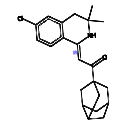 CC1(C)Cc2cc(Cl)ccc2/C(=C/C(=O)C23CC4CC(C2)C(C4)C3)N1